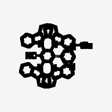 CC(C)(C)Cc1cccc(-c2c(-n3c4ccccc4c4ccncc43)c(-n3c4ccccc4c4ccccc43)c(C#N)c(-n3c4ccccc4c4ccccc43)c2-n2c3ccccc3c3ccncc32)c1